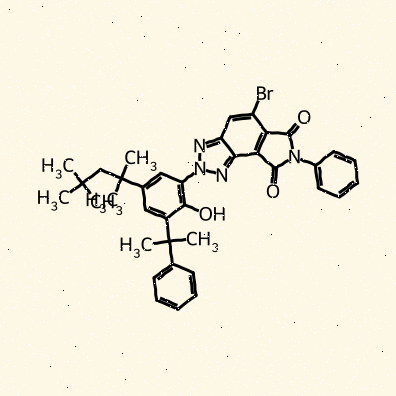 CC(C)(C)CC(C)(C)c1cc(-n2nc3cc(Br)c4c(c3n2)C(=O)N(c2ccccc2)C4=O)c(O)c(C(C)(C)c2ccccc2)c1